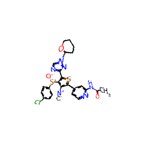 [C-]#[N+]c1c(-c2ccnc(NC(C)=O)c2)sc(-c2ncn(C3CCCCO3)n2)c1[S+]([O-])c1ccc(Cl)cc1